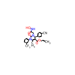 C=CCOC(=O)C1=C(C)N(c2cccc(C(F)(F)F)c2)C(=O)N(CC(=O)NO)C1c1ccc(C#N)cc1